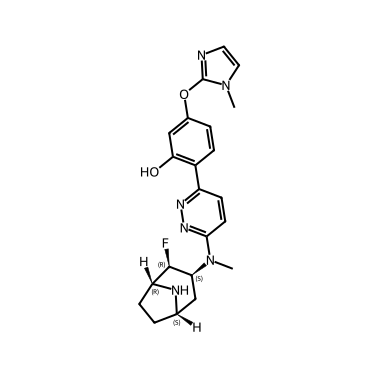 CN(c1ccc(-c2ccc(Oc3nccn3C)cc2O)nn1)[C@H]1C[C@@H]2CC[C@@H](N2)[C@H]1F